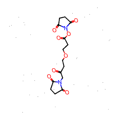 O=C(CCOCCC(=O)ON1C(=O)CCC1=O)CN1C(=O)CCC1=O